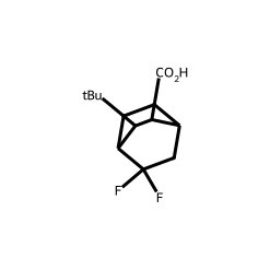 CC(C)(C)C1C(C(=O)O)C2CCC1C(F)(F)C2